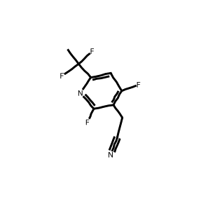 CC(F)(F)c1cc(F)c(CC#N)c(F)n1